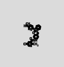 CNc1ccc(-n2c(=O)n(CC3CCC(NC(=O)c4cc(Cl)cnc4C)CC3)c3ccccc32)nn1